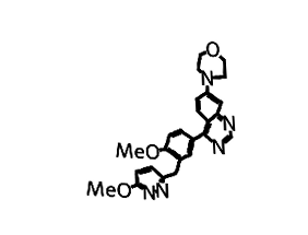 COc1ccc(Cc2cc(-c3ncnc4cc(N5CCOCC5)ccc34)ccc2OC)nn1